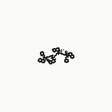 C=C(C=CC=C1N(CC)c2ccc3ccccc3c2C1(C)Cc1ccccc1)C(C)(CCCCC1(C)C(C=CC=C2N(CC)c3ccc4ccccc4c3C2(C)Cc2ccccc2)=[N+](C)c2ccc3ccccc3c21)c1c(C)ccc2ccccc12